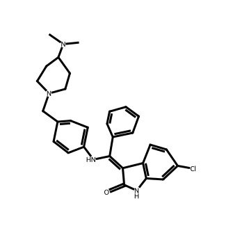 CN(C)C1CCN(Cc2ccc(N/C(=C3\C(=O)Nc4cc(Cl)ccc43)c3ccccc3)cc2)CC1